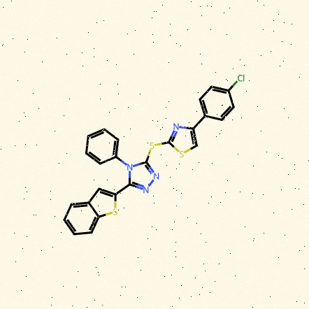 Clc1ccc(-c2csc(Sc3nnc(-c4cc5ccccc5s4)n3-c3ccccc3)n2)cc1